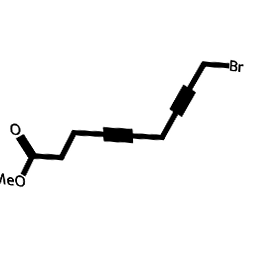 COC(=O)CCC#CCC#CCBr